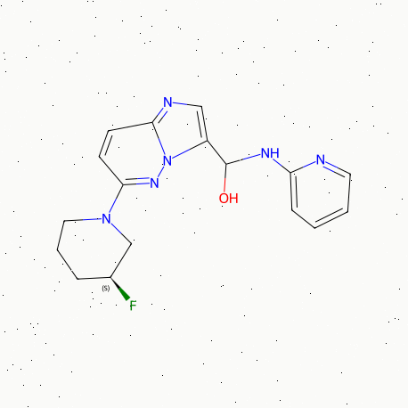 OC(Nc1ccccn1)c1cnc2ccc(N3CCC[C@H](F)C3)nn12